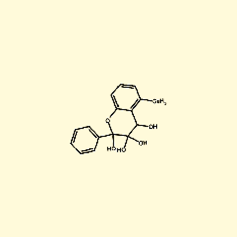 OC1c2[c]([GeH3])cccc2OC(O)(c2ccccc2)C1(O)O